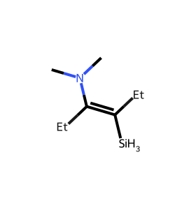 CCC([SiH3])=C(CC)N(C)C